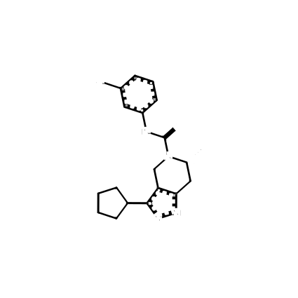 C[C@@H]1Cc2[nH]nc(C3CCCC3)c2CN1C(=O)Nc1cccc(Cl)c1